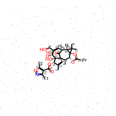 CCCC(=O)O[C@@]12C[C@@H](C)[C@]34C=C(C)[C@H](OC(=O)c5c(CC)noc5CC)[C@@]3(O)[C@H](O)C(CO)=C[C@H](C4=O)[C@@H]1C2(C)C